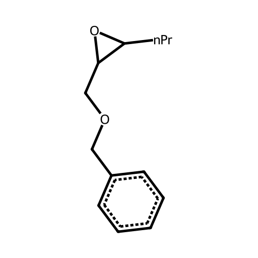 CCCC1OC1COCc1ccccc1